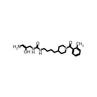 Cc1ccccc1C(=O)N1CCC(CCCCNC(=O)NC/C(O)=C/N)CC1